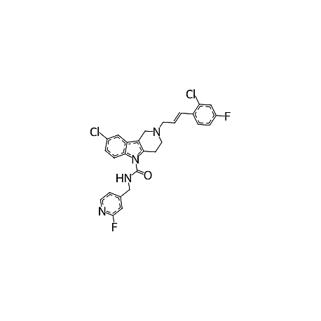 O=C(NCc1ccnc(F)c1)n1c2c(c3cc(Cl)ccc31)CN(C/C=C/c1ccc(F)cc1Cl)CC2